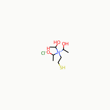 CC(O)[N+](CCS)(C(C)O)C(C)O.[Cl-]